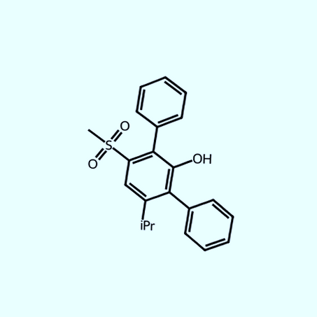 CC(C)c1cc(S(C)(=O)=O)c(-c2ccccc2)c(O)c1-c1ccccc1